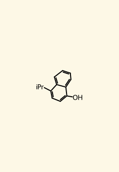 CC(C)c1ccc(O)c2ccccc12